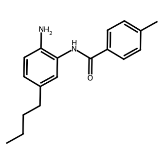 CCCCc1ccc(N)c(NC(=O)c2ccc(C)cc2)c1